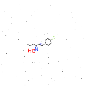 CCCC(/C=C/c1ccc(F)cc1)=NO